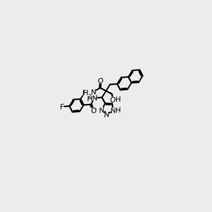 NC(=O)C(CO)(Cc1ccc2ccccc2c1)C(NC(=O)c1ccc(F)cc1F)c1c[nH]nn1